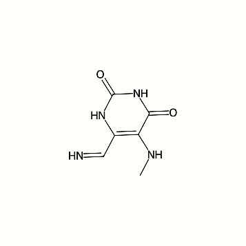 CNc1c(C=N)[nH]c(=O)[nH]c1=O